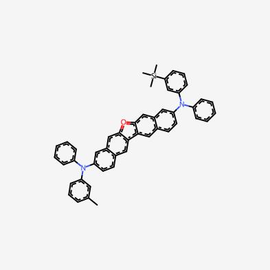 Cc1cccc(N(c2ccccc2)c2ccc3cc4c(cc3c2)oc2cc3cc(N(c5ccccc5)c5cccc([Si](C)(C)C)c5)ccc3cc24)c1